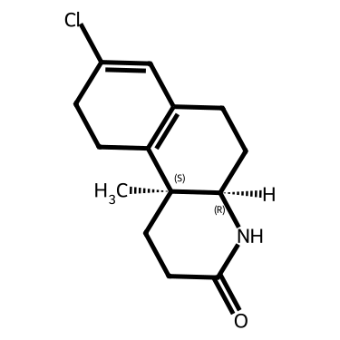 C[C@@]12CCC(=O)N[C@@H]1CCC1=C2CCC(Cl)=C1